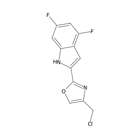 Fc1cc(F)c2cc(-c3nc(CCl)co3)[nH]c2c1